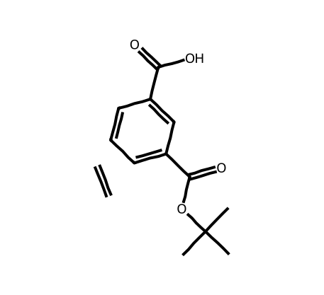 C=C.CC(C)(C)OC(=O)c1cccc(C(=O)O)c1